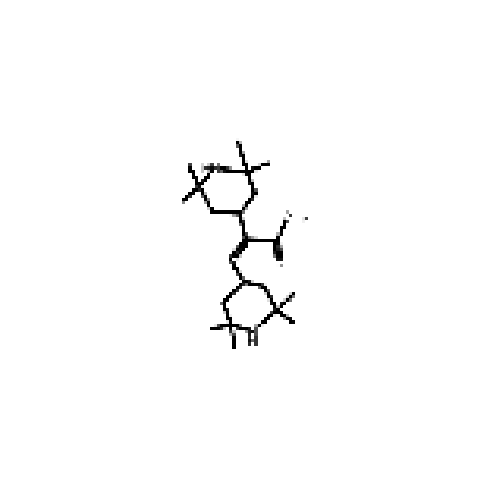 CC1(C)CC(C=C(C(N)=O)C2CC(C)(C)NC(C)(C)C2)CC(C)(C)N1